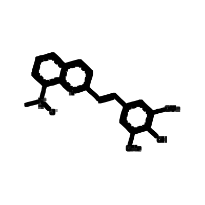 COc1cc(/C=C/c2ccc3cccc([NH+](C)[O-])c3n2)cc(OC)c1O